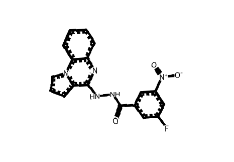 O=C(NNc1nc2ccccc2n2cccc12)c1cc(F)cc([N+](=O)[O-])c1